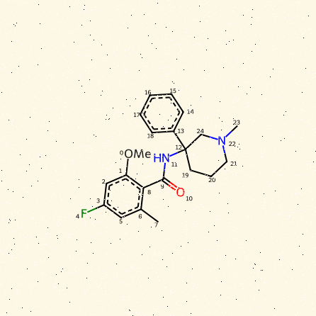 COc1cc(F)cc(C)c1C(=O)NC1(c2ccccc2)CCCN(C)C1